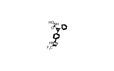 O=C(NO)[C@H]1[C@H](c2ccc(-c3ncc(C(F)(F)F)[nH]3)cc2)[C@H]1C1C=CC=CC1